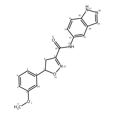 COc1cccc(C2CC(C(=O)Nc3ccc4[nH]ncc4c3)=NO2)c1